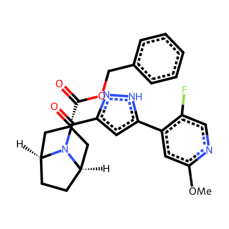 COc1cc(-c2cc(C(=O)N3[C@@H]4CC[C@H]3C[C@H](C(=O)OCc3ccccc3)C4)n[nH]2)c(F)cn1